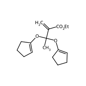 C=C(C(=O)OCC)C(C)(OC1=CCCC1)OC1=CCCC1